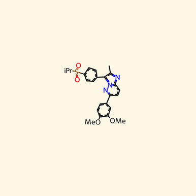 COc1ccc(-c2ccc3nc(C)c(-c4ccc(S(=O)(=O)C(C)C)cc4)n3n2)cc1OC